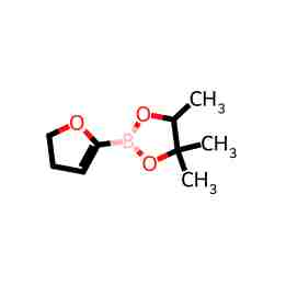 CC1OB(C2=CCCO2)OC1(C)C